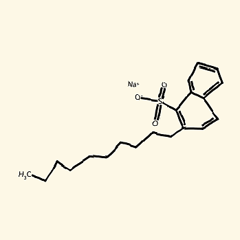 CCCCCCCCCCc1ccc2ccccc2c1S(=O)(=O)[O-].[Na+]